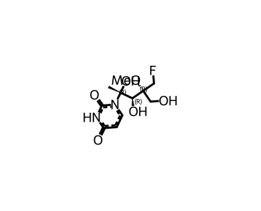 CO[C@@](CO)(CF)[C@@H](O)[C@@](C)(O)n1ccc(=O)[nH]c1=O